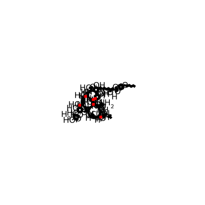 CCCCCOc1ccc(S(=O)(=O)NCC(=O)CCCNCC2[C@H](O)C3C4C[C@H](CC[C@H]4O)[C@H]4NC(=O)[C@@H]5NC(=O)[C@H](CC(N)=O)NC(=O)[C@H](NC(=O)[C@@H](CC(C)C)NC)[C@H](O)[C@H]6CC[C@@H](Oc7cc5cc(c7O[C@@H]5C[C@H](CO)[C@@H](O)[C@H](O)[C@H]5O[C@H]5C[C@](C)(N)[C@H](O)[C@H](C)O5)O[C@@H]5CC[C@@H](C[C@@H]5Cl)[C@@H](O)[C@H](NC4=O)C(=O)N[C@H](C(=O)O)C3C[C@@H]2O)[C@H](Cl)C6)cc1